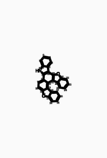 c1ccc2c(c1)[nH]c1c3ccc4oc5ccccc5c4c3c3c4ccccc4oc3c21